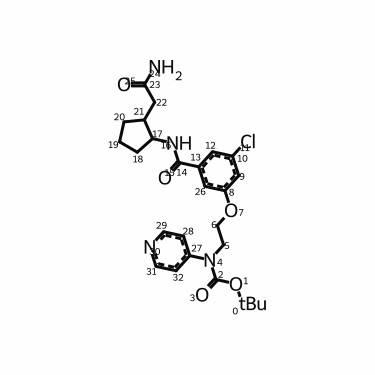 CC(C)(C)OC(=O)N(CCOc1cc(Cl)cc(C(=O)NC2CCCC2CC(N)=O)c1)c1ccncc1